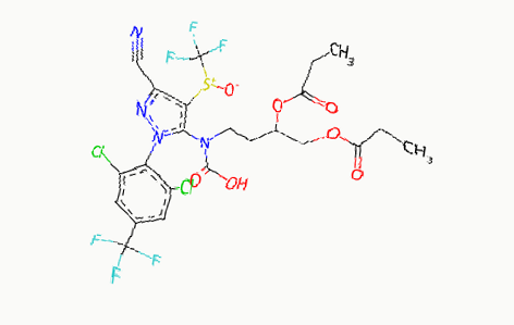 CCC(=O)OCC(CCN(C(=O)O)c1c([S+]([O-])C(F)(F)F)c(C#N)nn1-c1c(Cl)cc(C(F)(F)F)cc1Cl)OC(=O)CC